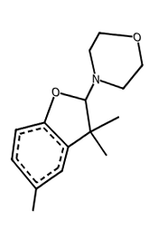 Cc1ccc2c(c1)C(C)(C)C(N1CCOCC1)O2